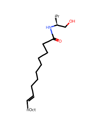 CCCCCCCCC=CCCCCCCCC(=O)N[C@H](CO)C(C)C